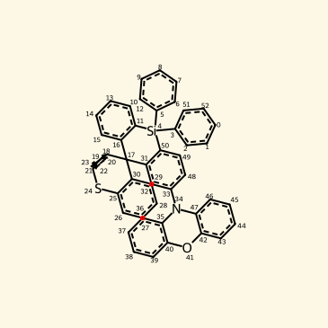 c1ccc([Si]2(c3ccccc3)c3ccccc3C3(c4ccccc4Sc4ccccc43)c3cc(N4c5ccccc5Oc5ccccc54)ccc32)cc1